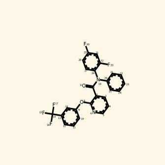 O=C(c1cccnc1Oc1cccc(C(F)(F)F)c1)N(c1ccccc1)c1ccc(F)cc1F